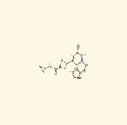 O=C(NC1CC1)N1CC(C2=CB(O)Oc3cnc4[nH]ccc4c32)C1